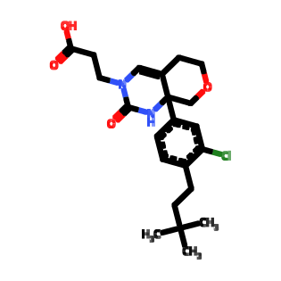 CC(C)(C)CCc1ccc(C23COCCC2=CN(CCC(=O)O)C(=O)N3)cc1Cl